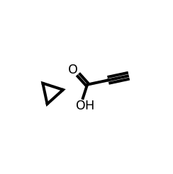 C#CC(=O)O.C1CC1